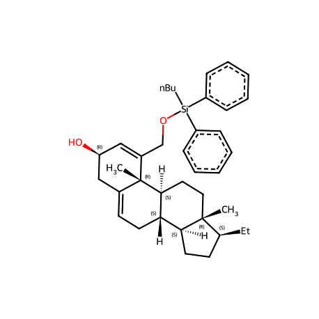 CCCC[Si](OCC1=C[C@H](O)CC2=CC[C@@H]3[C@H](CC[C@]4(C)[C@@H](CC)CC[C@@H]34)[C@@]12C)(c1ccccc1)c1ccccc1